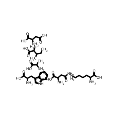 CC(N)C(=O)O.CCC(C)C(N)C(=O)O.NC(=O)CC(N)C(=O)O.NC(CC(=O)O)C(=O)O.NC(Cc1c[nH]c2ccccc12)C(=O)O.NCCCCC(N)C(=O)O